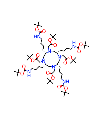 CC(C)(C)OC(=O)CN1C[C@H](CCCCNC(=O)OC(C)(C)C)N(CC(=O)OC(C)(C)C)C[C@H](CCCCNC(=O)OC(C)(C)C)N(CC(=O)OC(C)(C)C)C[C@H](CCCCNC(=O)OC(C)(C)C)N(CC(=O)OC(C)(C)C)C[C@@H]1CCCCNC(=O)OC(C)(C)C